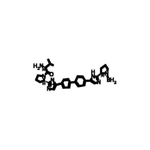 BN1CCC[C@@H]1c1ncc(-c2ccc(-c3ccc(-c4cnc([C@@H]5CCCN5C(=O)[C@H](N)C(C)C)[nH]4)cc3)cc2)[nH]1